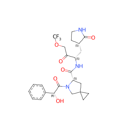 O=C1NCC[C@H]1C[C@H](NC(=O)[C@@H]1CC2(CC2)CN1C(=O)[C@H](O)c1ccccc1)C(=O)COC(F)(F)F